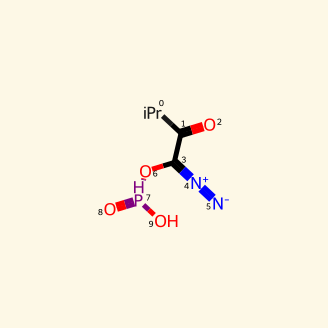 CC(C)C(=O)C(=[N+]=[N-])O[PH](=O)O